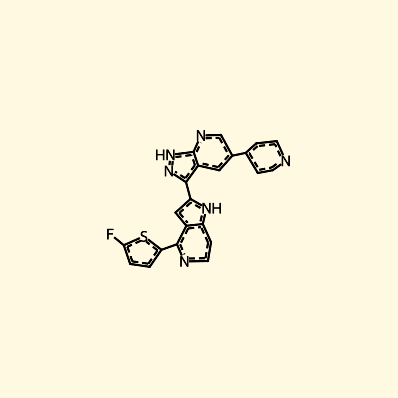 Fc1ccc(-c2nccc3[nH]c(-c4n[nH]c5ncc(-c6ccncc6)cc45)cc23)s1